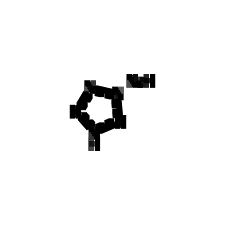 [NaH].n1nn[nH]n1